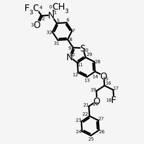 CN(C(=O)C(F)(F)F)c1ccc(-c2nc3ccc(OC(CF)COCc4ccccc4)cc3s2)cc1